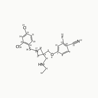 CCNCC1(COc2ccc(C#N)c(F)c2)CN(Sc2ccc(Cl)cc2Cl)C1